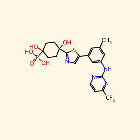 Cc1cc(Nc2nccc(C(F)(F)F)n2)cc(-c2cnc([C@]3(O)CC[C@](O)(P(=O)(O)O)CC3)s2)c1